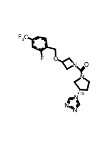 O=C(N1CC(OCc2ccc(C(F)(F)F)cc2F)C1)N1CC[C@H](n2cnnc2)C1